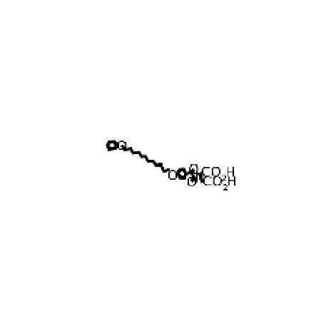 O=C(O)CN(CC(=O)O)C(=O)C(=O)c1ccc(OCCCCCCCCCCCCOc2ccccc2)cc1